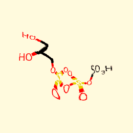 O=S(=O)(O)OS(=O)(=O)OS(=O)(=O)OCC(O)CO